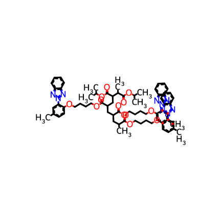 Cc1ccc(OCCCCOC(=O)C(C)CC(CC(CC(C(=O)OC(C)C)C(C)C(=O)OC(C)C)C(=O)OCCCCOc2ccc(C)cc2-n2nc3ccccc3n2)C(=O)OCCCCOc2ccc(C)cc2-n2nc3ccccc3n2)c(-n2nc3ccccc3n2)c1